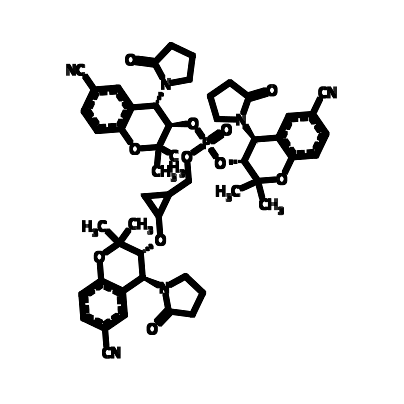 CC1(C)Oc2ccc(C#N)cc2[C@H](N2CCCC2=O)[C@H]1OC1CC1COP(=O)(O[C@@H]1[C@@H](N2CCCC2=O)c2cc(C#N)ccc2OC1(C)C)O[C@@H]1[C@@H](N2CCCC2=O)c2cc(C#N)ccc2OC1(C)C